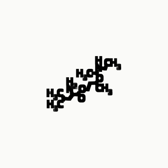 CCNC(C)OC(C)CCOC(=O)C(N)CC(C)C